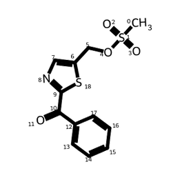 CS(=O)(=O)OCc1cnc(C(=O)c2ccccc2)s1